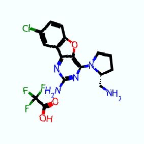 NC[C@H]1CCCN1c1nc(N)nc2c1oc1ccc(Cl)cc12.O=C(O)C(F)(F)F